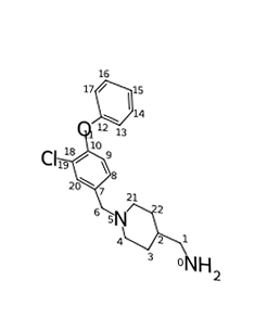 NCC1CCN(Cc2ccc(Oc3ccccc3)c(Cl)c2)CC1